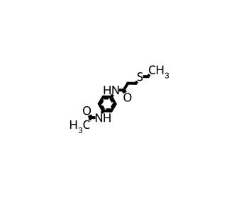 CCSCCC(=O)Nc1ccc(NC(C)=O)cc1